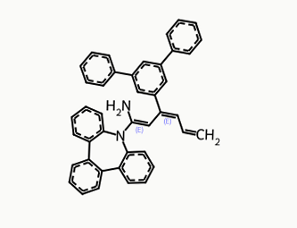 C=C/C=C(\C=C(/N)N1c2ccccc2-c2ccccc2-c2ccccc21)c1cc(-c2ccccc2)cc(-c2ccccc2)c1